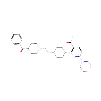 NC(=O)c1ccc(N2CCOCC2)nc1C1CCC(CCN2CCC(C(=O)c3ccc(F)cc3)CC2)CC1